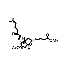 COC(=O)CCCC[C@H]1C[C@@H]2[C@@H](C=CC(=O)CCC=C(C)C)[C@H](OC(C)=O)C[C@@H]2O1